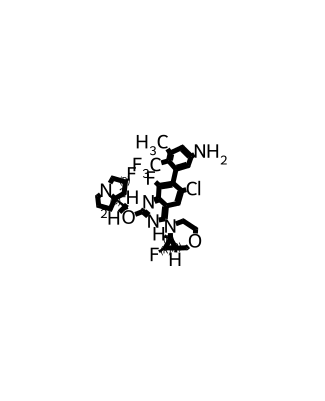 [2H]C([2H])(Oc1nc(N2CCOC[C@@H]3[C@@H](F)[C@@H]32)c2cc(Cl)c(-c3cc(N)cc(C)c3C(F)(F)F)c(F)c2n1)[C@@]12CCCN1C[C@H](F)C2